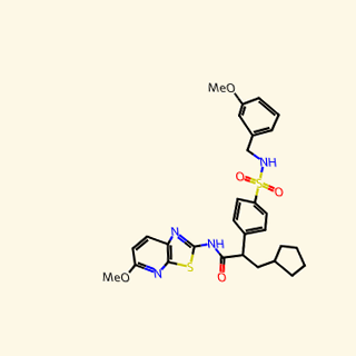 COc1cccc(CNS(=O)(=O)c2ccc(C(CC3CCCC3)C(=O)Nc3nc4ccc(OC)nc4s3)cc2)c1